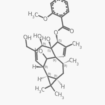 COc1ccccc1C(=O)O[C@H]1C(C)=C[C@]23C(O)[C@@H](C=C(CO)[C@@H](O)[C@]12O)[C@H]1[C@@H](C[C@H]3C)C1(C)C